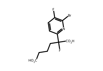 O=C(O)CCCC(F)(C(=O)O)c1ccc(F)c(Br)n1